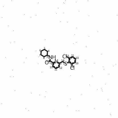 O=C(NC1CCCCC1)c1cccc(CSc2c(Cl)cccc2Cl)n1